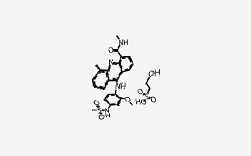 CNC(=O)c1cccc2c(Nc3ccc(NS(C)(=O)=O)cc3OC)c3cccc(C)c3nc12.O=S(=O)(O)CCO